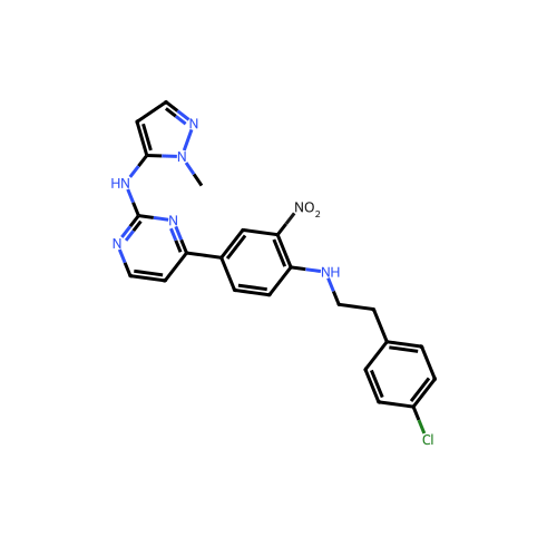 Cn1nccc1Nc1nccc(-c2ccc(NCCc3ccc(Cl)cc3)c([N+](=O)[O-])c2)n1